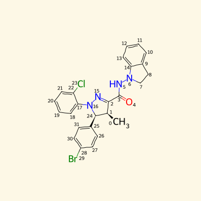 C[C@@H]1C(C(=O)NN2CCc3ccccc32)=NN(c2ccccc2Cl)[C@@H]1c1ccc(Br)cc1